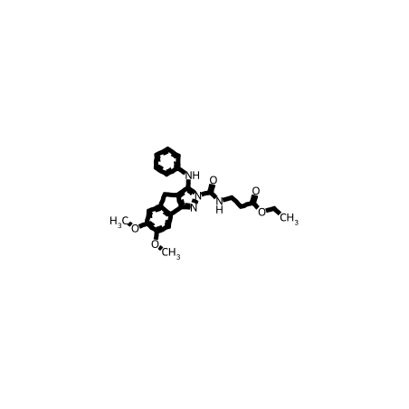 CCOC(=O)CCNC(=O)n1nc2c(c1Nc1ccccc1)Cc1cc(OC)c(OC)cc1-2